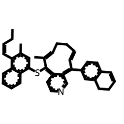 CC/C=C\c1c(C)cc(SC2=c3\ccnc\c3=C(c3ccc4c(c3)CCC=C4)\C=C\CC\C=C\2C)c2ccccc12